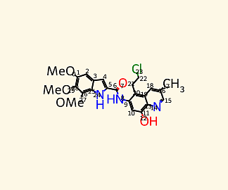 COc1cc2cc(C(=O)Nc3cc(O)c4ncc(C)cc4c3CCCl)[nH]c2c(OC)c1OC